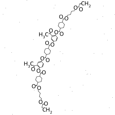 C=CC(=O)OCCCCOC(=O)C1CCC(C(=O)Oc2ccc(OC(=O)C3CCC(C(=O)Oc4ccc(OC(=O)C5CCC(C(=O)OCCCCOC(=O)C=C)CC5)c(C(C)=O)c4)CC3)cc2C(C)=O)CC1